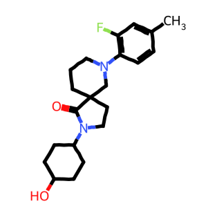 Cc1ccc(N2CCCC3(CCN(C4CCC(O)CC4)C3=O)C2)c(F)c1